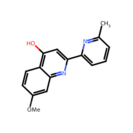 COc1ccc2c(O)cc(-c3cccc(C)n3)nc2c1